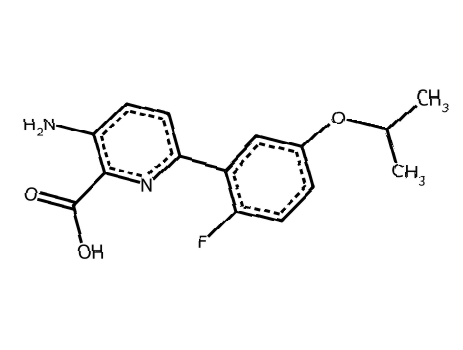 CC(C)Oc1ccc(F)c(-c2ccc(N)c(C(=O)O)n2)c1